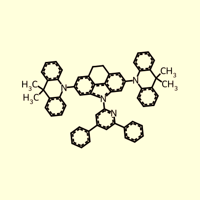 CC1(C)c2ccccc2N(c2cc3c4c5c(cc(N6c7ccccc7C(C)(C)c7ccccc76)cc5n(-c5cc(-c6ccccc6)cc(-c6ccccc6)n5)c4c2)CC3)c2ccccc21